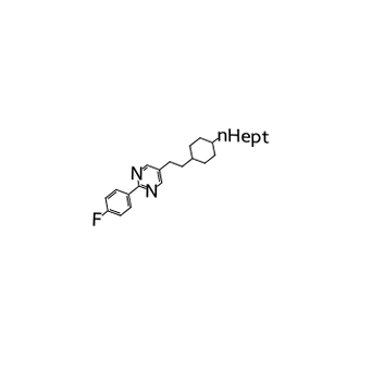 CCCCCCCC1CCC(CCc2cnc(-c3ccc(F)cc3)nc2)CC1